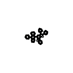 c1ccc(-c2c3ccccc3c(-c3cc4c(c5c3oc3ccccc35)OC(c3ccccc3)C4c3ccccc3)c3ccccc23)cc1